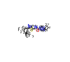 O=C(CN1CCc2nc(-c3cc(C(F)(F)F)cc(C(F)(F)F)c3)sc2C1)N1CCN(C2CCC2)CC1